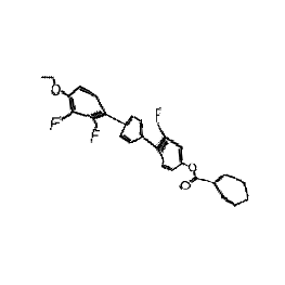 CCOc1ccc(-c2ccc(-c3ccc(OC(=O)C4CCCCC4)cc3F)cc2)c(F)c1F